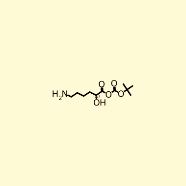 CC(C)(C)OC(=O)OC(=O)[C@@H](O)CCCCN